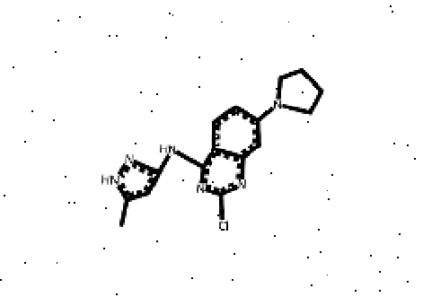 Cc1cc(Nc2nc(Cl)nc3cc(N4CCCC4)ccc23)n[nH]1